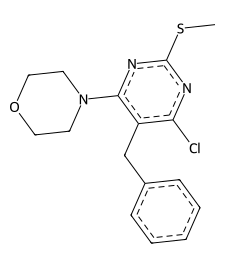 CSc1nc(Cl)c(Cc2ccccc2)c(N2CCOCC2)n1